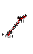 Cc1cc(C(=O)NCCOCCOCCOCCOCCOCCOCCOCCO[C@@H]2CCN(c3ncc(C(=O)Nc4ccc(OC(F)(F)F)cc4)cc3-c3ccn[nH]3)C2)ccc1B(O)O